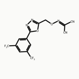 N#CC(C#N)=NOCc1nnc(-c2cc(C(F)(F)F)cc(C(F)(F)F)c2)o1